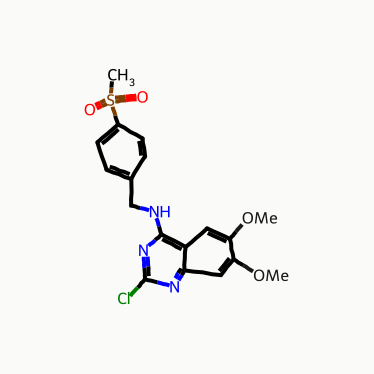 COc1cc2nc(Cl)nc(NCc3ccc(S(C)(=O)=O)cc3)c2cc1OC